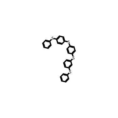 c1ccc(Sc2ccc(Sc3ccc(Sc4cccc(Sc5ccccc5)c4)cc3)cc2)cc1